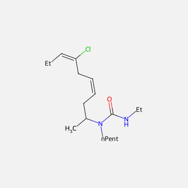 CC/C=C(/Cl)C/C=C\CC(C)N(CCCCC)C(=O)NCC